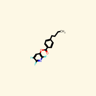 CCCCc1ccc(C(=O)Oc2cc(F)c(F)nc2F)cc1